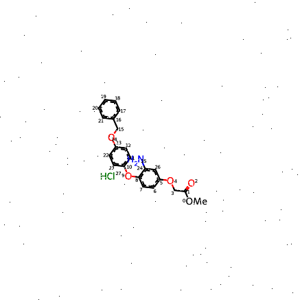 COC(=O)COc1ccc(Oc2ccc(OCc3ccccc3)cc2)c(N)c1.Cl